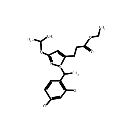 CCOC(=O)CCc1cc(OC(C)C)nn1C(C)c1ccc(Cl)cc1Cl